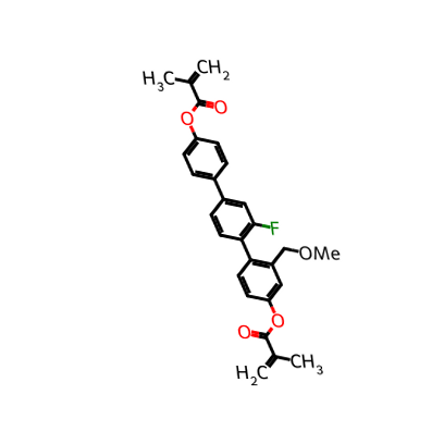 C=C(C)C(=O)Oc1ccc(-c2ccc(-c3ccc(OC(=O)C(=C)C)cc3COC)c(F)c2)cc1